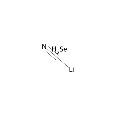 [Li][C]#N.[SeH2]